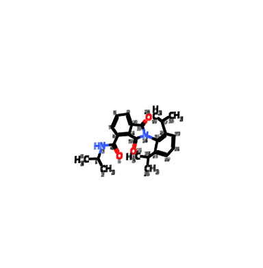 CC(C)NC(=O)c1cccc2c1C(=O)N(c1c(C(C)C)cccc1C(C)C)C2=O